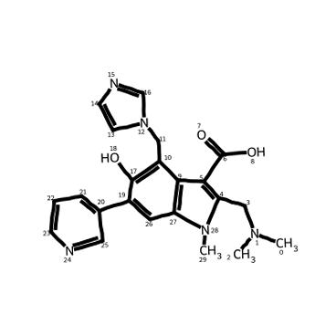 CN(C)Cc1c(C(=O)O)c2c(Cn3ccnc3)c(O)c(-c3cccnc3)cc2n1C